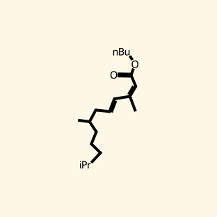 CCCCOC(=O)C=C(C)C=CCC(C)CCCC(C)C